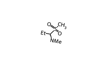 CC[C](NC)S(C)(=O)=O